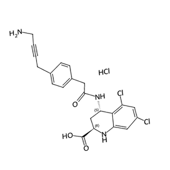 Cl.NCC#CCc1ccc(CC(=O)N[C@H]2C[C@H](C(=O)O)Nc3cc(Cl)cc(Cl)c32)cc1